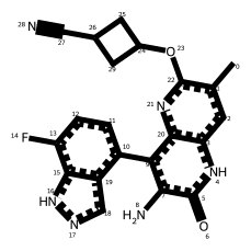 Cc1cc2[nH]c(=O)c(N)c(-c3ccc(F)c4[nH]ncc34)c2nc1OC1CC(C#N)C1